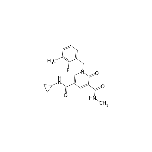 CNC(=O)c1cc(C(=O)NC2CC2)cn(Cc2cccc(C)c2F)c1=O